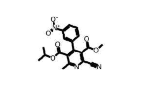 COC(=O)c1c(C#N)nc(C)c(C(=O)OC(C)C)c1-c1cccc([N+](=O)[O-])c1